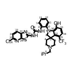 CC(C)CN1CCC2(CC1)CN(c1ccccc1NC(=O)Nc1nc3ccc(Cl)nc3s1)c1c(O)ccc(C(F)(F)F)c12